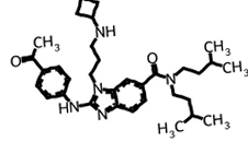 CC(=O)c1ccc(Nc2nc3ccc(C(=O)N(CCC(C)C)CCC(C)C)cc3n2CCCNC2CCC2)cc1